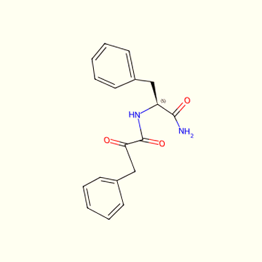 NC(=O)[C@H](Cc1ccccc1)NC(=O)C(=O)Cc1ccccc1